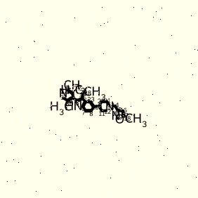 Cc1cc(-c2[nH]c3ccc(C4CCN(Cc5cc(C)on5)CC4)cc3c2C(C)C)c(C)cn1